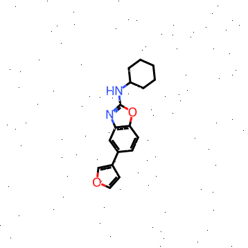 c1cc(-c2ccc3oc(NC4CCCCC4)nc3c2)co1